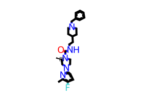 Cc1nc(N2CCN(C(=O)NCCC3CCN(Cc4ccccc4)CC3)[C@H](C)C2)ccc1F